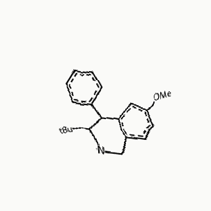 COc1ccc2c(c1)C(c1ccccc1)C(C(C)(C)C)[N]C2